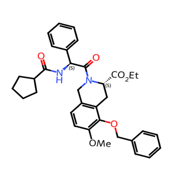 CCOC(=O)[C@@H]1Cc2c(ccc(OC)c2OCc2ccccc2)CN1C(=O)[C@@H](NC(=O)C1CCCC1)c1ccccc1